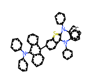 c1ccc(N(c2ccccc2)c2sc3cc(-c4c5ccccc5c(N(c5ccccc5)c5ccccc5)c5ccccc45)ccc3c2N(c2ccccc2)c2ccccc2)cc1